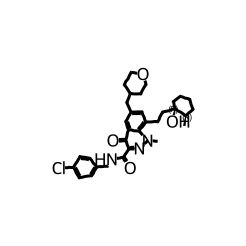 C[C@@H]1CCCC[C@@]1(O)CCc1cc(CC2CCOCC2)cc2c(=O)c(C(=O)NCc3ccc(Cl)cc3)nn(C)c12